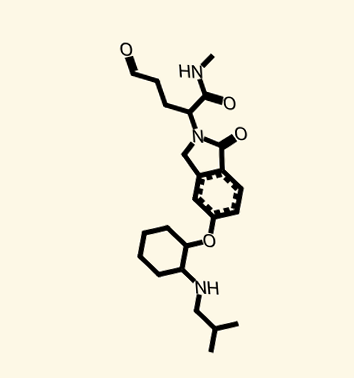 CNC(=O)C(CCC=O)N1Cc2cc(OC3CCCCC3NCC(C)C)ccc2C1=O